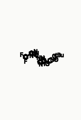 CC(C)(C)OC(=O)N1CCC(O)(c2cnc3c(NCc4nnc5ccc(-c6cc(F)cc(F)c6)nn45)ccnc3c2)CC1